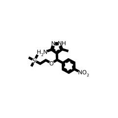 Cc1[nH]nc(N)c1C(OCC[Si](C)(C)C)c1ccc([N+](=O)[O-])cc1